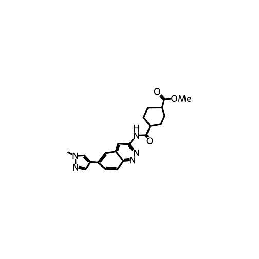 COC(=O)C1CCC(C(=O)Nc2cc3cc(-c4cnn(C)c4)ccc3nn2)CC1